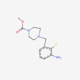 COC(=O)N1CCN(Cc2cccc(N)c2F)CC1